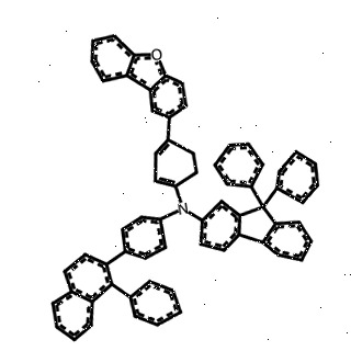 C1=C(c2ccc3oc4ccccc4c3c2)CCC(N(c2ccc(-c3ccc4ccccc4c3-c3ccccc3)cc2)c2ccc3c(c2)C(c2ccccc2)(c2ccccc2)c2ccccc2-3)=C1